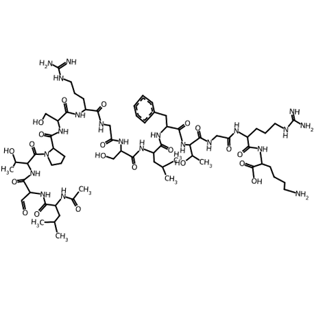 CC(=O)NC(CC(C)C)C(=O)NC(C=O)C(=O)NC(C(=O)N1CCCC1C(=O)NC(CO)C(=O)NC(CCCNC(=N)N)C(=O)NCC(=O)NC(CO)C(=O)NC(CC(C)C)C(=O)NC(Cc1ccccc1)C(=O)NC(C(=O)NCC(=O)NC(CCCNC(=N)N)C(=O)NC(CCCCN)C(=O)O)C(C)O)C(C)O